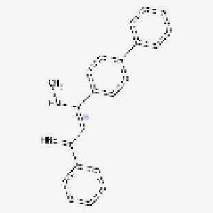 CN/C(=C\C(=N)c1ccccc1)c1ccc(-c2ccccc2)cc1